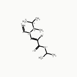 CC(C)OC(=O)/C(Br)=C/N(C=N)N(C)C(C)C